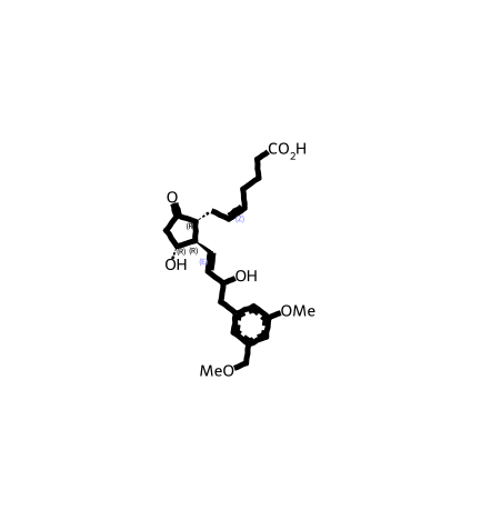 COCc1cc(CC(O)/C=C/[C@H]2[C@H](O)CC(=O)[C@@H]2C/C=C\CCCC(=O)O)cc(OC)c1